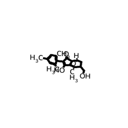 Cc1cc(C)c(C2=C(O)C3C(C2=O)[C@@H]2CC(CO)[C@@]3(C)O2)c(C)c1